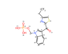 O=C(c1nc(CC(F)(F)F)cs1)c1cn(COP(=O)(O)O)c2ccccc12